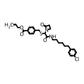 C=CCOC(=O)c1ccc(CSC(C(=O)NCCCCCCc2ccc(Cl)cc2)N2CCC2=O)cc1